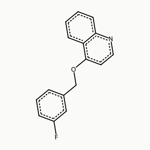 Fc1cccc(COc2ccnc3ccccc23)c1